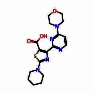 O=C(O)c1sc(N2CCCCC2)nc1-c1nccc(N2CCOCC2)n1